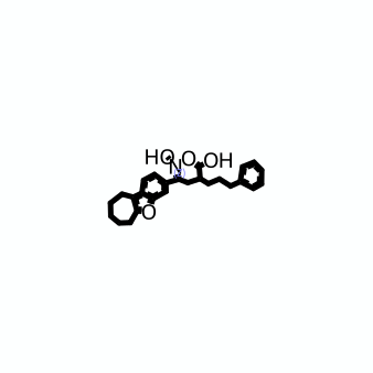 O=C(O)C(CCCc1ccccc1)C/C(=N/O)c1ccc2c3c(oc2c1)CCCCC3